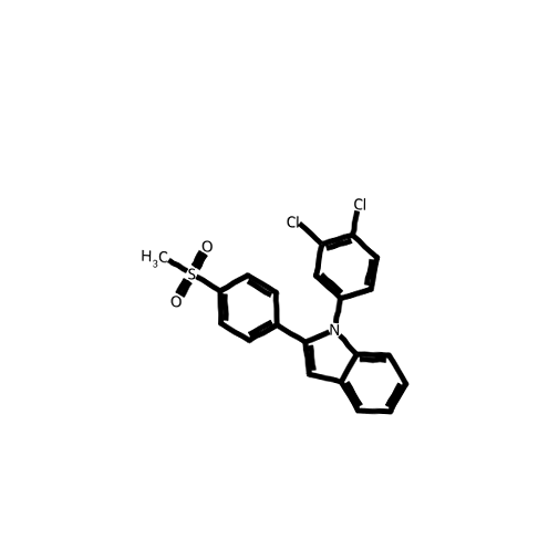 CS(=O)(=O)c1ccc(-c2cc3ccccc3n2-c2ccc(Cl)c(Cl)c2)cc1